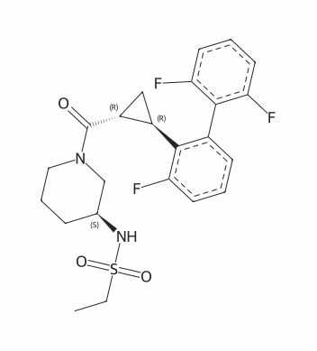 CCS(=O)(=O)N[C@H]1CCCN(C(=O)[C@@H]2C[C@H]2c2c(F)cccc2-c2c(F)cccc2F)C1